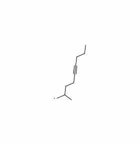 [CH2]C(C)CCC#CCCC